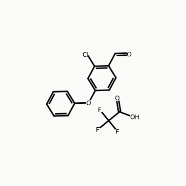 O=C(O)C(F)(F)F.O=Cc1ccc(Oc2ccccc2)cc1Cl